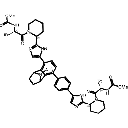 COC(=O)N[C@H](C(=O)N1CCCC[C@H]1c1ncc(-c2ccc(-c3ccc(-c4cnc([C@@H]5CCCCN5C(=O)[C@@H](NC(=O)OC)C(C)C)[nH]4)c4c3C3CCC4N3C)cc2)[nH]1)C(C)C